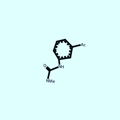 CNC(=O)Nc1cccc(C(C)=O)c1